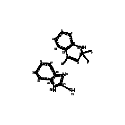 CC1=CC(C)(C)Nc2ccccc21.Sc1nc2ccccc2[nH]1